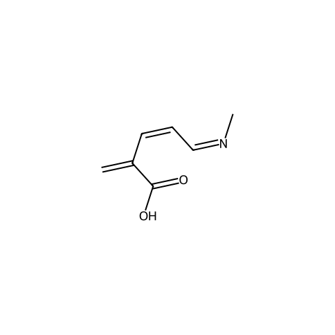 C=C(/C=C\C=N/C)C(=O)O